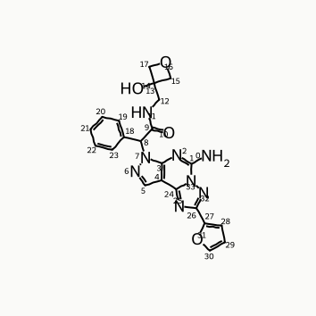 Nc1nc2c(cnn2C(C(=O)NCC2(O)COC2)c2ccccc2)c2nc(-c3ccco3)nn12